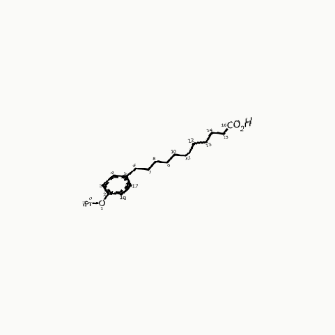 CC(C)Oc1ccc(CCCCCCCCCCC(=O)O)cc1